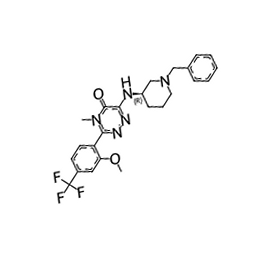 COc1cc(C(F)(F)F)ccc1-c1nnc(N[C@@H]2CCCN(Cc3ccccc3)C2)c(=O)n1C